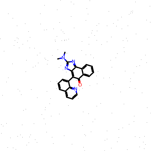 CN(C)C1=NC2=C(c3cccc4cccnc34)C(=O)c3ccccc3C2=N1